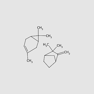 C=C1C2CCC(C2)C1(C)C.CC1=CCC2C(C1)C2(C)C